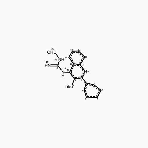 CCCCc1c(-c2ccccc2)nc2ccccc2c1NC(=N)NC=O